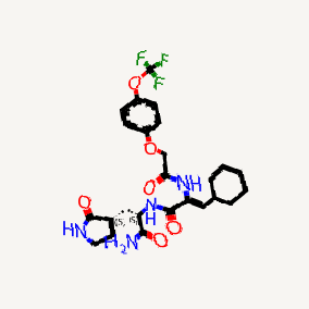 NC(=O)[C@H](C[C@@H]1CCNC1=O)NC(=O)C(=CC1CCCCC1)NC(=O)COc1ccc(OC(F)(F)F)cc1